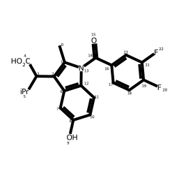 Cc1c(C(C(=O)O)C(C)C)c2cc(O)ccc2n1C(=O)c1ccc(F)c(F)c1